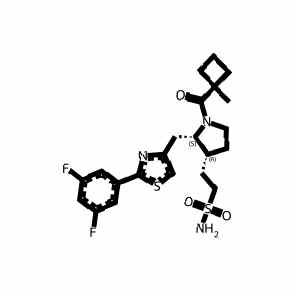 CC1(C(=O)N2CC[C@H](CCS(N)(=O)=O)[C@@H]2Cc2csc(-c3cc(F)cc(F)c3)n2)CCC1